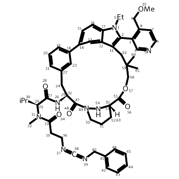 CCn1c(-c2cnccc2COC)c2c3cc(ccc31)-c1cccc(c1)C[C@H](NC(=O)[C@H](C(C)C)N(C)C(=O)CCN=C=NCc1ccccc1)C(=O)N1CCC[C@H](N1)C(=O)OCC(C)(C)C2